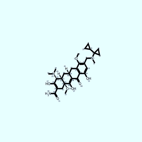 COc1c(CN(C)C2(C3CC3)CC2)cc(O)c2c1C[C@H]1C[C@H]3[C@H](N(C)C)C(O)=C(C(N)=O)C[C@@]3(OC)C(O)=C1C2=O